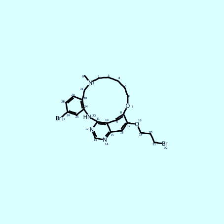 CN1CCCCCOc2cc3c(ncnc3cc2OCCCBr)Nc2cc(Br)ccc2C1